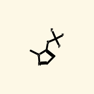 Cn1n[c]cc1SC(F)(F)F